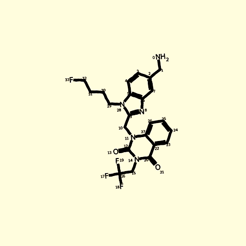 NCc1ccc2c(c1)nc(Cn1c(=O)n(CC(F)(F)F)c(=O)c3ccccc31)n2CCCCF